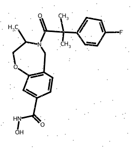 CC1COc2cc(C(=O)NO)ccc2CN1C(=O)C(C)(C)c1ccc(F)cc1